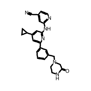 N#Cc1ccnc(Nc2cc(C3CC3)cc(-c3cccc(CN4CCNC(=O)C4)c3)n2)c1